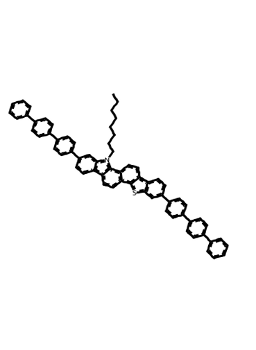 CCCCCCCCn1c2cc(-c3ccc(-c4ccc(-c5ccccc5)cc4)cc3)ccc2c2ccc3c(ccc4c5ccc(-c6ccc(-c7ccc(-c8ccccc8)cc7)cc6)cc5sc43)c21